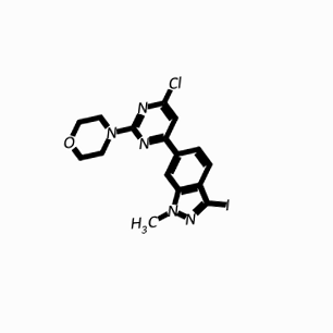 Cn1nc(I)c2ccc(-c3cc(Cl)nc(N4CCOCC4)n3)cc21